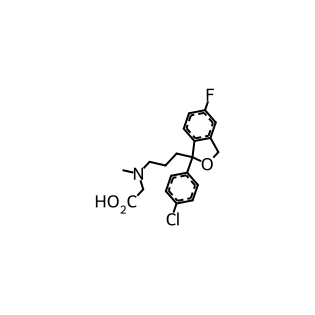 CN(CCCC1(c2ccc(Cl)cc2)OCc2cc(F)ccc21)CC(=O)O